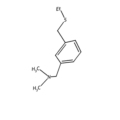 [CH2]CSCc1cccc(CN(C)C)c1